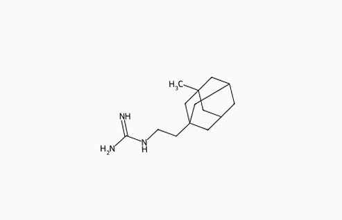 CC12CC3CC(C1)CC(CCNC(=N)N)(C3)C2